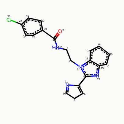 O=C(NCCn1c(C2=CCC=N2)nc2ccccc21)c1ccc(Cl)cc1